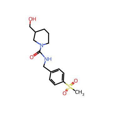 CS(=O)(=O)c1ccc(CNC(=O)N2CCCC(CO)C2)cc1